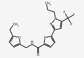 CCCn1nc(-c2ccc(C(=O)NCc3ccc(CC)o3)s2)cc1C(F)(F)F